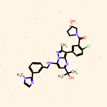 Cc1nn2c(NCc3cccc(-c4nccn4C)c3)cc(C(C)(C)O)nc2c1-c1ccc(Cl)c(C(=O)N2CC[C@H](O)C2)c1